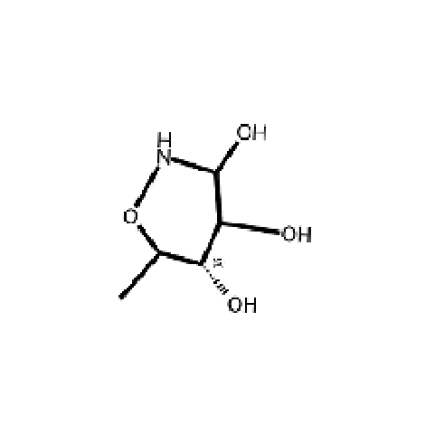 CC1ONC(O)C(O)[C@@H]1O